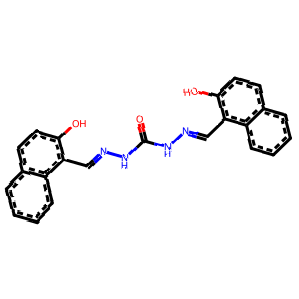 O=C(NN=Cc1c(O)ccc2ccccc12)NN=Cc1c(O)ccc2ccccc12